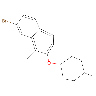 Cc1c(OC2CCC(C)CC2)ccc2ccc(Br)cc12